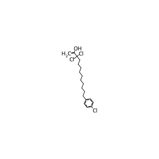 C=C(O)C(Cl)(Cl)CCCCCCCCCCc1ccc(Cl)cc1